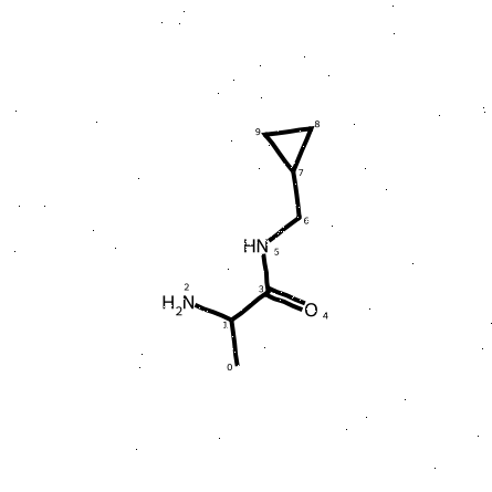 CC(N)C(=O)NCC1CC1